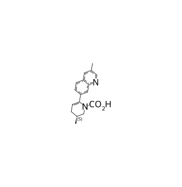 Cc1cnc2cc(C3=CC[C@H](C)CN3C(=O)O)ccc2c1